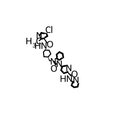 Cc1ncc(Cl)cc1C(=O)N[C@H]1CC[C@H](Cn2c(=O)n(-c3ccc(C(=O)Nc4ccccn4)nc3)c3ccccc32)CC1